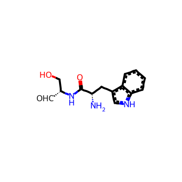 N[C@@H](Cc1c[nH]c2ccccc12)C(=O)N[C@H](C=O)CO